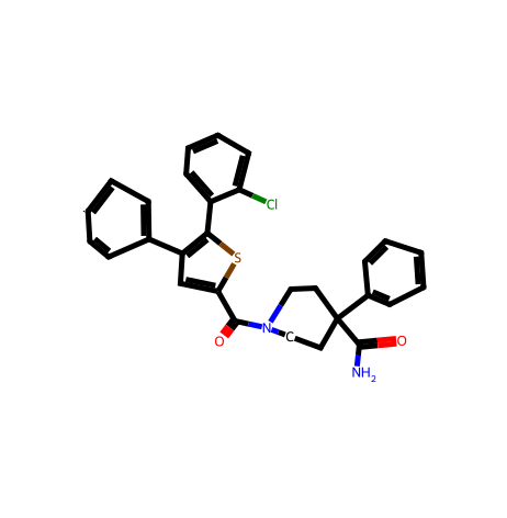 NC(=O)C1(c2ccccc2)CCN(C(=O)c2cc(-c3cc[c]cc3)c(-c3ccccc3Cl)s2)CC1